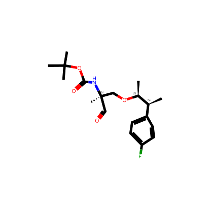 C[C@H](OC[C@@](C)(C=O)NC(=O)OC(C)(C)C)[C@@H](C)c1ccc(F)cc1